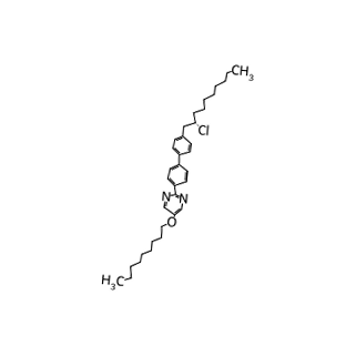 CCCCCCCCCOc1cnc(-c2ccc(-c3ccc(C[C@@H](Cl)CCCCCCCC)cc3)cc2)nc1